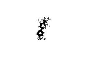 COc1ccc(C2=NCC(C(C)(C)N)C=C2)cc1